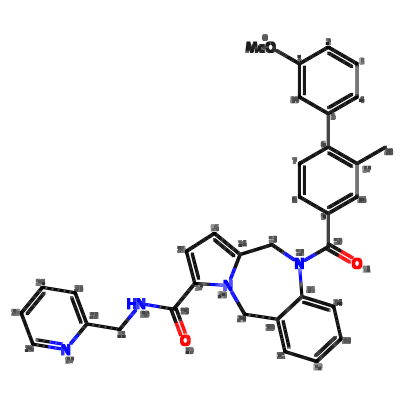 COc1cccc(-c2ccc(C(=O)N3Cc4ccc(C(=O)NCc5ccccn5)n4Cc4ccccc43)cc2C)c1